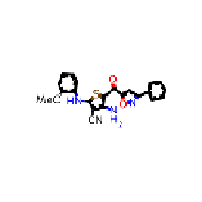 COc1ccccc1Nc1sc(C(=O)c2cc(-c3ccccc3)no2)c(N)c1C#N